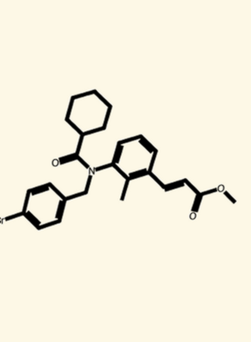 COC(=O)/C=C/c1cccc(N(Cc2ccc(Br)cc2)C(=O)C2CCCCC2)c1C